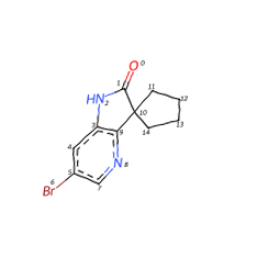 O=C1Nc2cc(Br)cnc2C12CCCC2